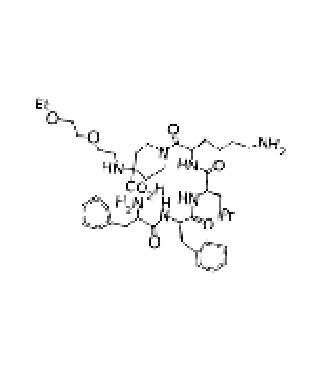 CCOCCOCCNC1(C(=O)O)CCN(C(=O)[C@@H](CCCCN)NC(=O)[C@@H](CC(C)C)NC(=O)[C@@H](Cc2ccccc2)NC(=O)[C@H](N)Cc2ccccc2)CC1